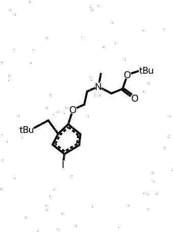 CN(CCOc1ccc(I)cc1CC(C)(C)C)CC(=O)OC(C)(C)C